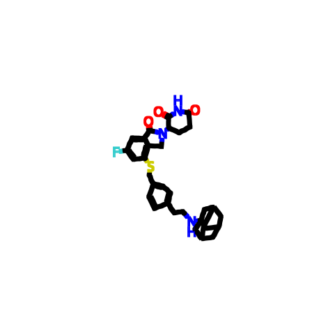 O=C1CCC(N2Cc3c(SCc4ccc(CCNC56CC7CC(CC(C7)C5)C6)cc4)cc(F)cc3C2=O)C(=O)N1